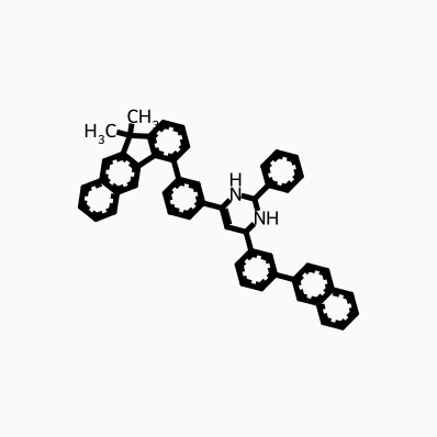 CC1(C)c2cc3ccccc3cc2-c2c(-c3cccc(C4=CC(c5cccc(-c6ccc7ccccc7c6)c5)NC(c5ccccc5)N4)c3)cccc21